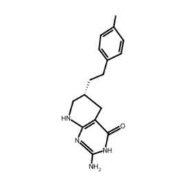 Cc1ccc(CC[C@H]2CNc3nc(N)[nH]c(=O)c3C2)cc1